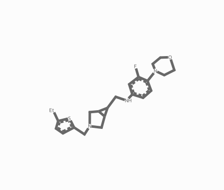 CCc1ccc(CN2CC3C(CNc4ccc(N5CCOCC5)c(F)c4)C3C2)s1